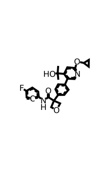 CC(C)(O)c1cc(OC2CC2)ncc1-c1ccc(C2(C(=O)Nc3ccc(F)cc3)COC2)cc1